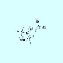 CCC(=C[SiH2]N([Si](C)(C)C(C)(C)C)[Si](C)(C)C(C)(C)C)CC